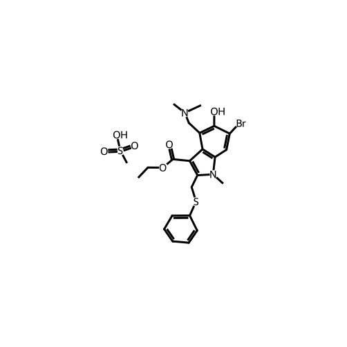 CCOC(=O)c1c(CSc2ccccc2)n(C)c2cc(Br)c(O)c(CN(C)C)c12.CS(=O)(=O)O